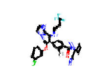 Cc1cc(-c2c(Oc3cccc(Cl)c3)cn3ccnc3c2NCCC(F)(F)F)ccc1C(=O)NC1(C#N)CC1